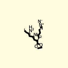 [N-]=[N+]=NCCCC[C@H](C[C@@H](N)C[C@@H](N)CI)C1OCCO1